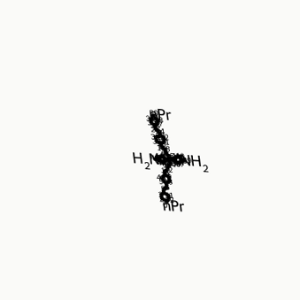 CCCC1CCC(/C=C/C2CCC(CCCCC(CCCCC3CCC(/C=C/C4CCC(CCC)CC4)CC3)(c3ccc(N)cc3)c3ccc(N)cc3)CC2)CC1